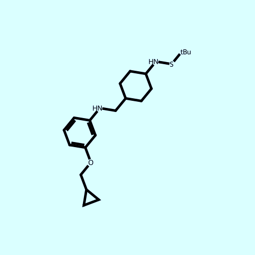 CC(C)(C)SNC1CCC(CNc2cccc(OCC3CC3)c2)CC1